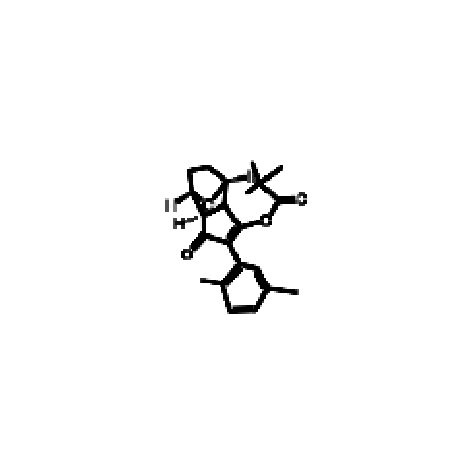 Cc1ccc(C)c(C2=C(OC(=O)C(C)(C)C)C3[C@@H](C2=O)[C@@H]2CC[C@H]3O2)c1